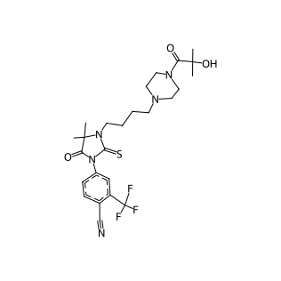 CC(C)(O)C(=O)N1CCN(CCCCN2C(=S)N(c3ccc(C#N)c(C(F)(F)F)c3)C(=O)C2(C)C)CC1